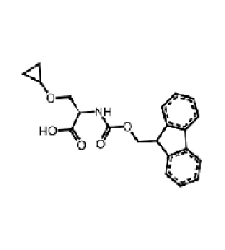 O=C(N[C@H](COC1CC1)C(=O)O)OCC1c2ccccc2-c2ccccc21